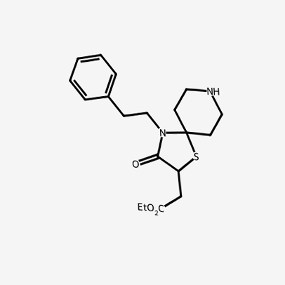 CCOC(=O)CC1SC2(CCNCC2)N(CCc2ccccc2)C1=O